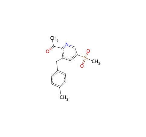 CC(=O)c1ncc(S(C)(=O)=O)cc1Cc1ccc(C)cc1